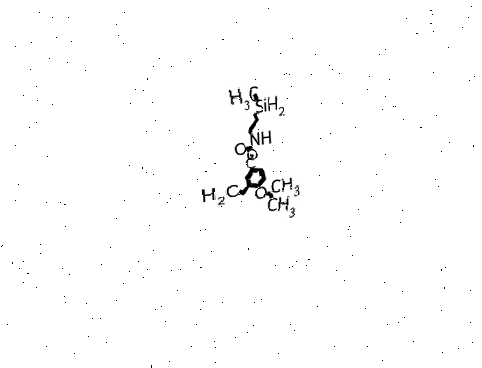 C=Cc1cc(COC(=O)NCCC[SiH2]C)ccc1OC(C)C